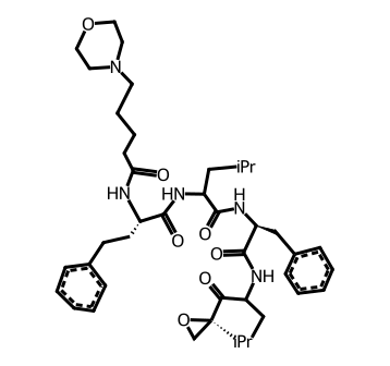 CC(C)CC(NC(=O)[C@H](CCc1ccccc1)NC(=O)CCCCN1CCOCC1)C(=O)N[C@@H](Cc1ccccc1)C(=O)NC(CC(C)C)C(=O)[C@@]1(C)CO1